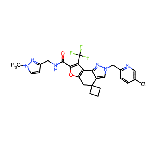 Cc1ccc(Cn2cc3c(n2)-c2c(oc(C(=O)NCc4ccn(C)n4)c2C(F)(F)F)CC32CCC2)nc1